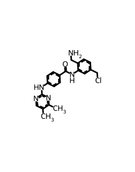 Cc1cnc(Nc2ccc(C(=O)Nc3cc(CCl)ccc3CN)cc2)nc1C